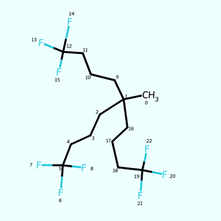 CC(CCCC(F)(F)F)(CCCC(F)(F)F)CCCC(F)(F)F